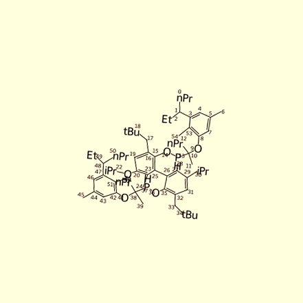 CCCC(CC)c1cc(C)cc(OC(C)(CCC)POc2c(CC(C)(C)C)cc(OC(C)C)c(C)c2-c2c(C)c(C(C)C)cc(CC(C)(C)C)c2OPC(C)(CCC)Oc2cc(C)cc(C(CC)CCC)c2C)c1C